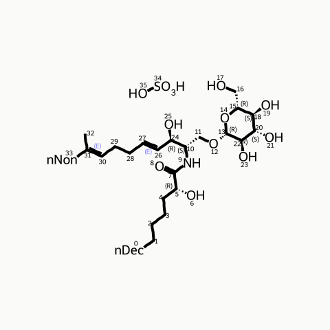 CCCCCCCCCCCCCC[C@@H](O)C(=O)N[C@@H](CO[C@@H]1O[C@H](CO)[C@@H](O)[C@H](O)[C@H]1O)[C@H](O)/C=C/CC/C=C(\C)CCCCCCCCC.O=S(=O)(O)O